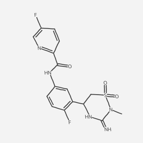 CN1C(=N)NC(c2cc(NC(=O)c3ccc(F)cn3)ccc2F)CS1(=O)=O